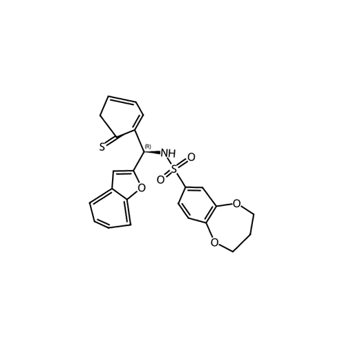 O=S(=O)(N[C@H](C1=CC=CCC1=S)c1cc2ccccc2o1)c1ccc2c(c1)OCCCO2